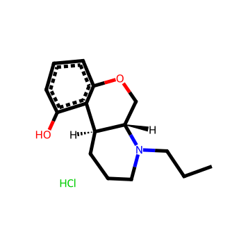 CCCN1CCC[C@H]2c3c(O)cccc3OC[C@@H]21.Cl